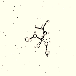 CN(C)OP(=O)(OCl)OCl